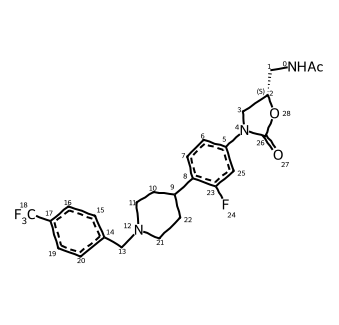 CC(=O)NC[C@H]1CN(c2ccc(C3CCN(Cc4ccc(C(F)(F)F)cc4)CC3)c(F)c2)C(=O)O1